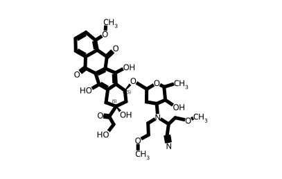 COCCN(C(C#N)COC)C1CC(O[C@H]2C[C@](O)(C(=O)CO)Cc3c(O)c4c(c(O)c32)C(=O)c2c(OC)cccc2C4=O)OC(C)C1O